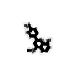 Nc1ccc(-c2cc(C(=O)O)c3cccc(Cl)c3n2)cn1